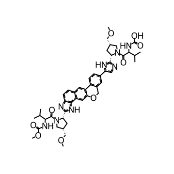 COC[C@H]1C[C@@H](c2ncc(-c3ccc4c(c3)COc3cc5c(ccc6nc([C@@H]7C[C@H](COC)CN7C(=O)C(NC(=O)OC)C(C)C)[nH]c65)cc3-4)[nH]2)N(C(=O)C(NC(=O)O)C(C)C)C1